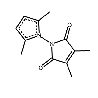 CC1=C(C)C(=O)N(n2c(C)ccc2C)C1=O